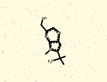 Cn1c(C(C)(C)C(F)(F)F)cc2ncc(CO)nc21